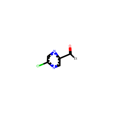 CCC(=O)c1cnc(Cl)cn1